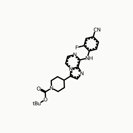 CC(C)(C)OC(=O)N1CCC(c2cnc3c(Nc4ccc(C#N)cc4F)nccn23)CC1